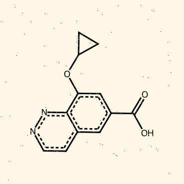 O=C(O)c1cc(OC2CC2)c2nnccc2c1